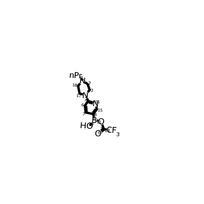 CCCN1CCN(c2ccc(B(O)OC(=O)C(F)(F)F)cn2)CC1